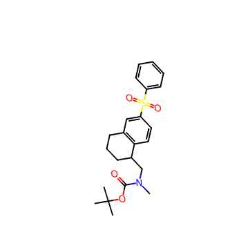 CN(CC1CCCc2cc(S(=O)(=O)c3ccccc3)ccc21)C(=O)OC(C)(C)C